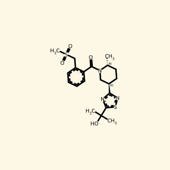 C[C@@H]1CC[C@@H](c2nsc(C(C)(C)O)n2)CN1C(=O)c1ccccc1CS(C)(=O)=O